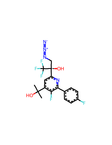 CC(C)(O)c1cc([C@@](O)(CN=[N+]=[N-])C(F)(F)F)nc(-c2ccc(F)cc2)c1F